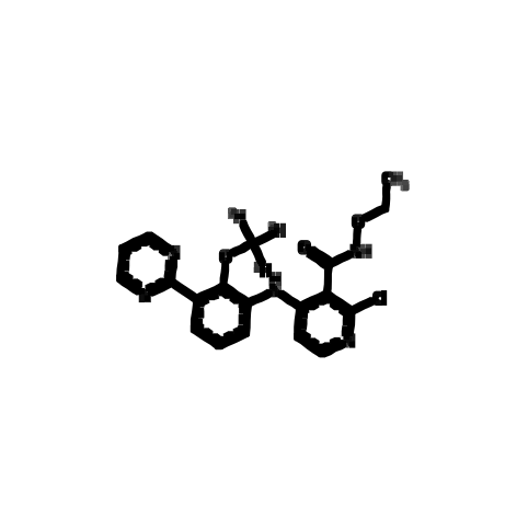 [2H]C([2H])([2H])Oc1c(Nc2ccnc(Cl)c2C(=O)NOCC)cccc1-c1ncccn1